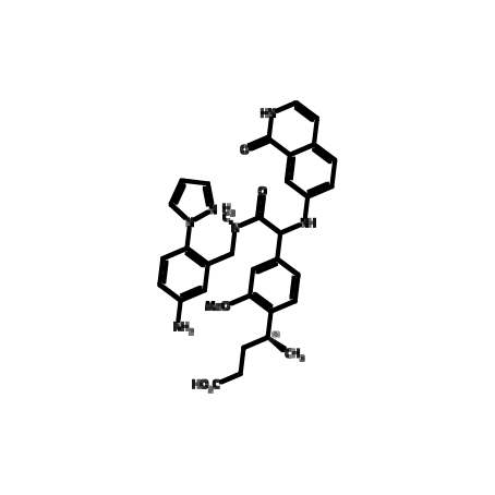 COc1cc(C(Nc2ccc3cc[nH]c(=O)c3c2)C(=O)N(C)Cc2cc(N)ccc2-n2cccn2)ccc1[C@@H](C)CCC(=O)O